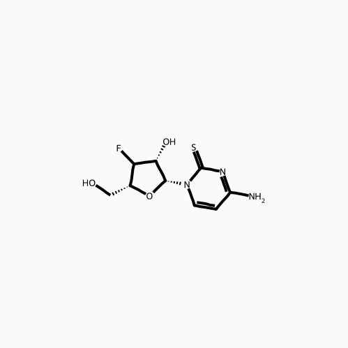 Nc1ccn([C@@H]2O[C@H](CO)C(F)[C@@H]2O)c(=S)n1